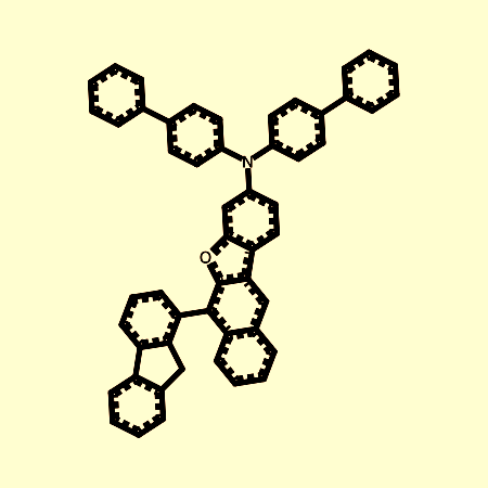 c1ccc(-c2ccc(N(c3ccc(-c4ccccc4)cc3)c3ccc4c(c3)oc3c(-c5cccc6c5Cc5ccccc5-6)c5ccccc5cc34)cc2)cc1